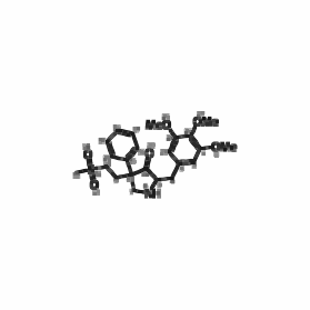 COc1cc(CC2NCC(CCS(C)(=O)=O)(c3ccccc3)C2=O)cc(OC)c1OC